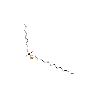 CCCCCCCCCCCCSSC(C)(C)CCCCCCCCC